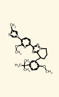 COc1ccc(C(C)(C)C)cc1C1CCCn2nc(-c3ccc(-n4cnc(C)c4)c(OC)n3)nc21